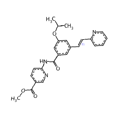 COC(=O)c1ccc(NC(=O)c2cc(/C=C/c3ccccn3)cc(OC(C)C)c2)nc1